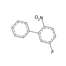 O=[N+]([O-])c1ccc(F)cc1-c1cc[c]cc1